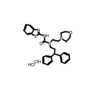 Cl.Cl.O=C(Nc1nc2ccccc2s1)N(CCC(c1ccccc1)c1ccccc1)CCN1CCOCC1